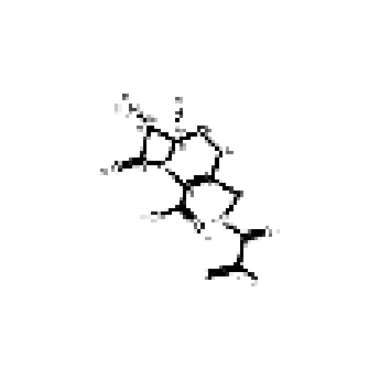 C=C(C)C(=O)OCC1=C(C(=O)O)N2C(=O)[C@@H](N)[C@H]2SC1